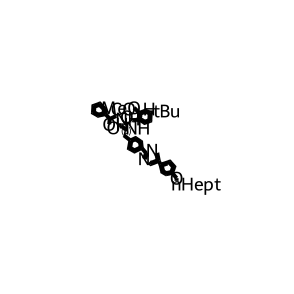 CCCCCCCOc1ccc(-c2cnc(-c3ccc(C[C@H](NC(=O)c4ccc(C(C)(C)C)cc4OC)C(=O)NC(C(=O)O)C(O)c4ccccc4)cc3)nc2)cc1